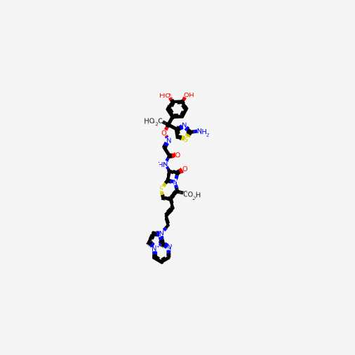 Nc1nc(C(ON=CC(=O)NC2C(=O)N3C(C(=O)O)=C(C=CCn4cc[n+]5cccnc45)CSC23)(C(=O)O)c2ccc(O)c(O)c2)cs1